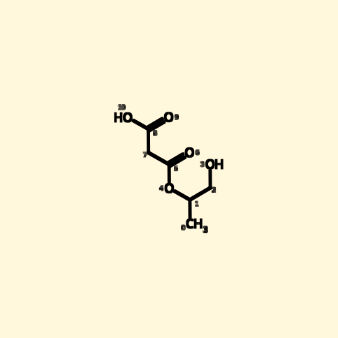 CC(CO)OC(=O)CC(=O)O